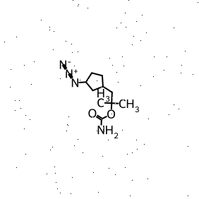 CC(C)(CC1CCC(N=[N+]=[N-])C1)OC(N)=O